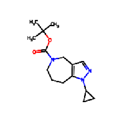 CC(C)(C)OC(=O)N1CCCc2c(cnn2C2CC2)C1